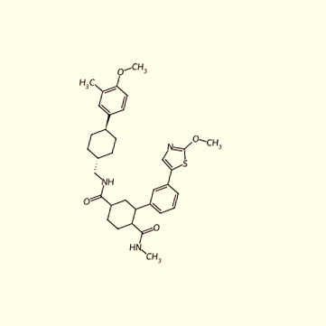 CNC(=O)C1CCC(C(=O)NC[C@H]2CC[C@H](c3ccc(OC)c(C)c3)CC2)CC1c1cccc(-c2cnc(OC)s2)c1